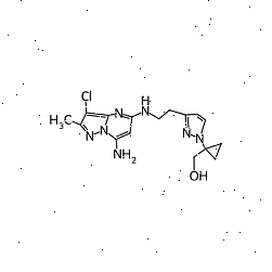 Cc1nn2c(N)cc(NCCc3ccn(C4(CO)CC4)n3)nc2c1Cl